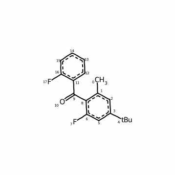 Cc1cc(C(C)(C)C)cc(F)c1C(=O)c1ccccc1F